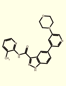 Cc1cccnc1NC(=O)c1n[nH]c2ccc(-c3cncc(N4CCOCC4)c3)cc12